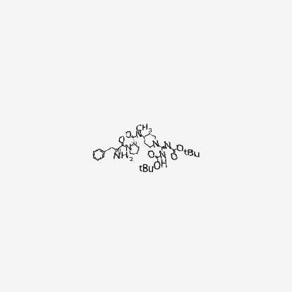 CN(C(=O)[C@@H]1CCCN1C(=O)[C@H](N)Cc1ccccc1)C1CCN(C(=NC(=O)OC(C)(C)C)NC(=O)OC(C)(C)C)CC1